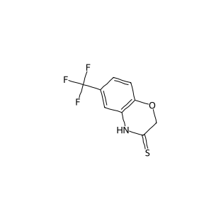 FC(F)(F)c1ccc2c(c1)NC(=S)CO2